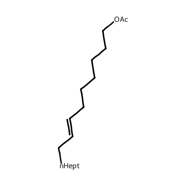 CCCCCCCCC=CCCCCCCOC(C)=O